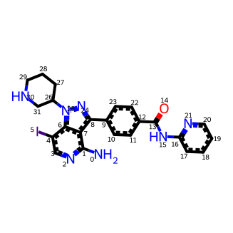 Nc1ncc(I)c2c1c(-c1ccc(C(=O)Nc3ccccn3)cc1)nn2C1CCCNC1